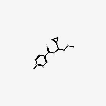 CCCC(OC(=O)c1ccc(C)cc1)C1=CC1